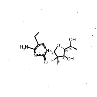 CCc1cn([C@@H]2O[C@H]([C@H](C)O)[C@@H](O)C2(F)F)c(=O)nc1N